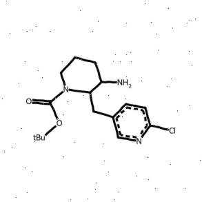 CC(C)(C)OC(=O)N1CCCC(N)C1Cc1ccc(Cl)nc1